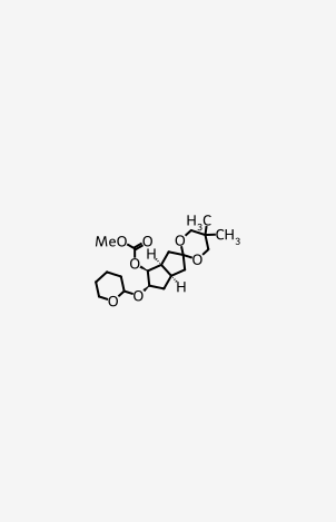 COC(=O)O[C@H]1[C@H]2CC3(C[C@H]2C[C@H]1OC1CCCCO1)OCC(C)(C)CO3